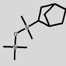 C[Si](C)(C)O[Si](C)(C)C1CC2CCC1C2